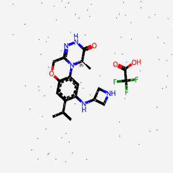 CC(C)c1cc2c(cc1NC1CNC1)N1C(=NNC(=O)[C@H]1C)CO2.O=C(O)C(F)(F)F